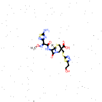 CON=C(C(=O)NC1C(=O)N2CC(CSc3nnc(CCO)s3)(C(=O)O)CS[C@H]12)c1nsc(N)n1